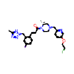 Cc1nnn(Cc2cc(I)ccc2/C=C/C(=O)N2CCN(Cc3ccc(OCCF)cn3)C[C@H]2C)n1